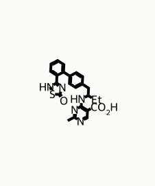 CCC(Cc1ccc(-c2ccccc2-c2nc(=O)s[nH]2)cc1)Nc1nc(C)ncc1C(=O)O